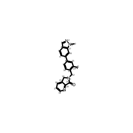 Cn1ncc2ccc(-c3ccc(CN4Cc5cccnc5C4=O)c(F)c3)cc21